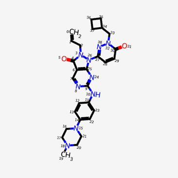 C=CCn1c(=O)c2cnc(Nc3ccc(N4CCN(C)CC4)cc3)nc2n1-c1ccc(=O)n(CC2CCC2)n1